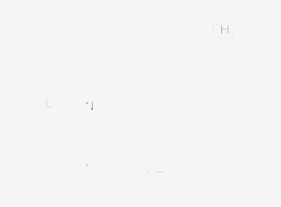 C=CCc1cc(C)c(=O)n(CC)c1